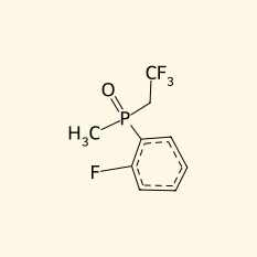 CP(=O)(CC(F)(F)F)c1ccccc1F